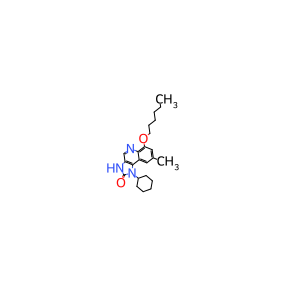 CCCCCCOc1cc(C)cc2c1ncc1[nH]c(=O)n(C3CCCCC3)c12